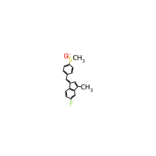 CC1=CC(=Cc2ccc([S+](C)[O-])cc2)c2ccc(F)cc21